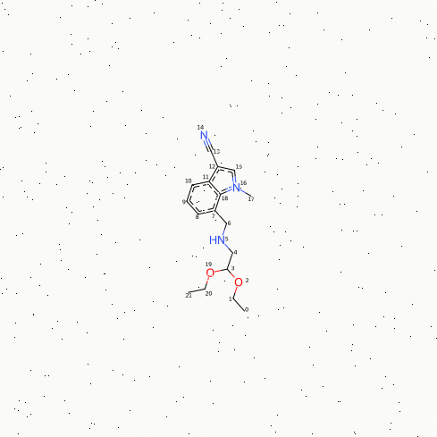 CCOC(CNCc1cccc2c(C#N)cn(C)c12)OCC